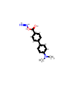 CN(C)c1ccc(-c2ccc(C(=O)ON=N)cc2)cc1